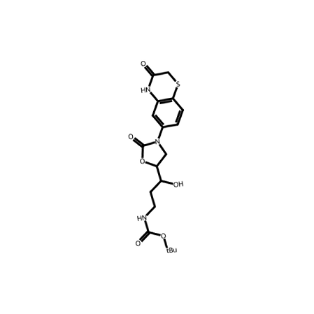 CC(C)(C)OC(=O)NCCC(O)C1CN(c2ccc3c(c2)NC(=O)CS3)C(=O)O1